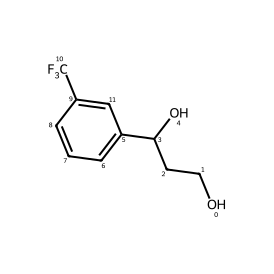 OCCC(O)c1cccc(C(F)(F)F)c1